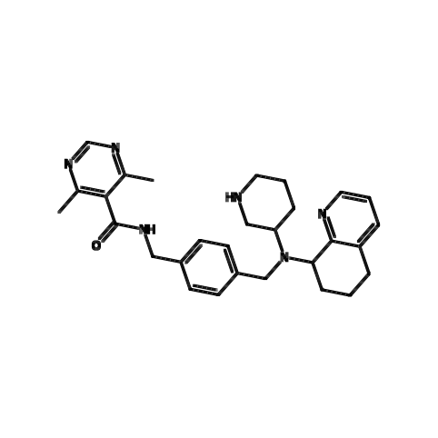 Cc1ncnc(C)c1C(=O)NCc1ccc(CN(C2CCCNC2)C2CCCc3cccnc32)cc1